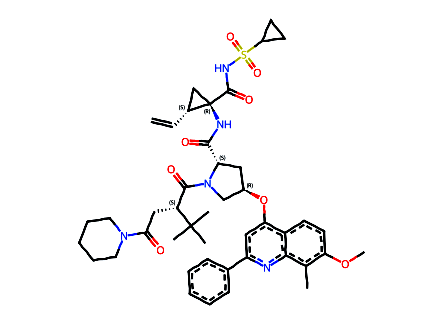 C=C[C@@H]1C[C@]1(NC(=O)[C@@H]1C[C@@H](Oc2cc(-c3ccccc3)nc3c(C)c(OC)ccc23)CN1C(=O)[C@@H](CC(=O)N1CCCCC1)C(C)(C)C)C(=O)NS(=O)(=O)C1CC1